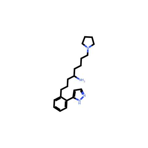 NC(CCCCN1CCCC1)CCCc1ccccc1-c1ccn[nH]1